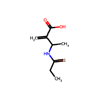 C=C(C(=O)O)C(C)NC(=S)CC